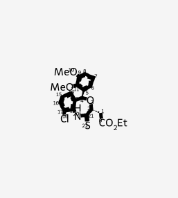 CCOC(=O)C[C@H]1O[C@H](c2cccc(OC)c2OC)c2cccc(Cl)c2NC1=S